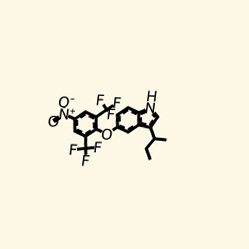 CCC(C)c1c[nH]c2ccc(Oc3c(C(F)(F)F)cc([N+](=O)[O-])cc3C(F)(F)F)cc12